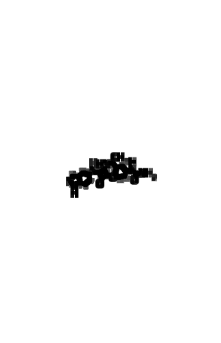 C[C@@H](Nc1c(Nc2ccc3[nH]ncc3c2)c(=O)c1=O)c1cccc(NC(N)=O)c1